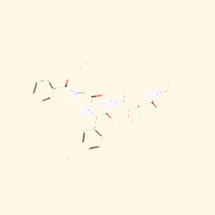 COc1ccc(C(NC(=O)C(CO[Si](C)(C)C(C)(C)C)NC(=O)c2ccccc2)C(=O)NC(C(C)C)C(O)C(F)(F)C(=O)NCC(F)(F)F)cc1